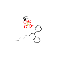 CCCCCCCC(c1ccccc1)c1ccccc1.O=S(=O)([O-])[O-].[K+].[K+]